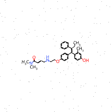 CCC(=C(c1ccc(OCCNCC=CC(=O)N(C)C)cc1)c1ccc(O)cc1C)c1ccccc1